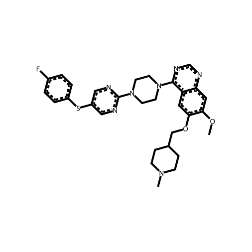 COc1cc2ncnc(N3CCN(c4ncc(Sc5ccc(F)cc5)cn4)CC3)c2cc1OCC1CCN(C)CC1